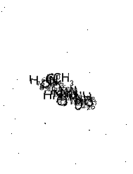 CN(C)[C@]1(c2ccccc2)CC[C@]2(CC1)CN(c1cnc(NC(=O)c3ccccc3)nc1)C(=O)N2